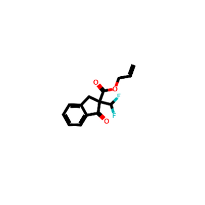 C=CCOC(=O)C1(C(F)F)Cc2ccccc2C1=O